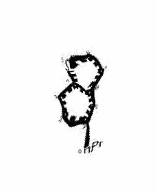 C[CH]Cc1ccc2sccc2c1